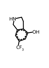 Oc1cc(C(F)(F)F)cc2c1CCNC2